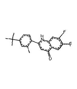 Cc1cc(C(C)(C)C)ccc1-c1cc(=O)c2cc(F)c(F)cc2[nH]1